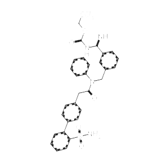 N=C(NC(=O)OCC(Cl)(Cl)Cl)c1cccc(CN(C(=O)Cc2ccc(-c3ccccc3S(N)(=O)=O)cc2)c2ccccc2)c1